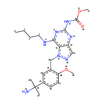 CCCCNc1nc(NC(=O)OC)nc2cnn(Cc3cc(C(C)(C)N)ccc3OC)c12